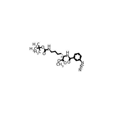 COC(=O)[C@H](CCCCNC(=O)OC(C)(C)C)NC(=O)c1cccc(N=[N+]=[N-])c1